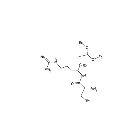 CC(C)CC(N)C(=O)NC(C=O)CCCNC(=N)N.CCOC(C)OCC